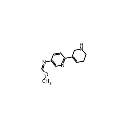 CO/C=N\c1ccc(C2=CCCNC2)nc1